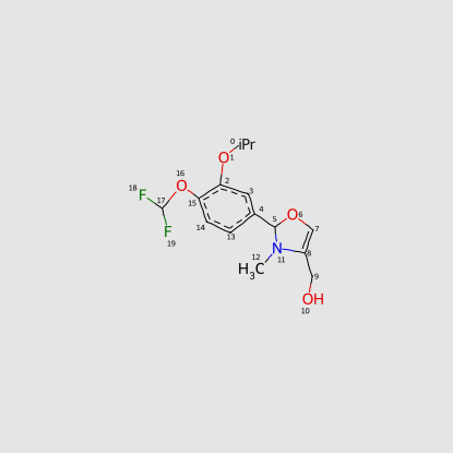 CC(C)Oc1cc(C2OC=C(CO)N2C)ccc1OC(F)F